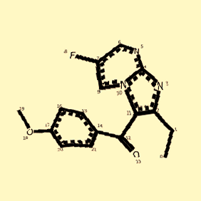 CCc1nc2ncc(F)cn2c1C(=O)c1ccc(OC)cc1